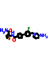 NC(=O)c1ccsc1NC(=O)c1ccc(-c2ccc(CN3CCC[C@@H](N)C3)c(F)c2)cc1